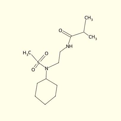 CC(C)C(=O)NCCN(C1CCCCC1)S(C)(=O)=O